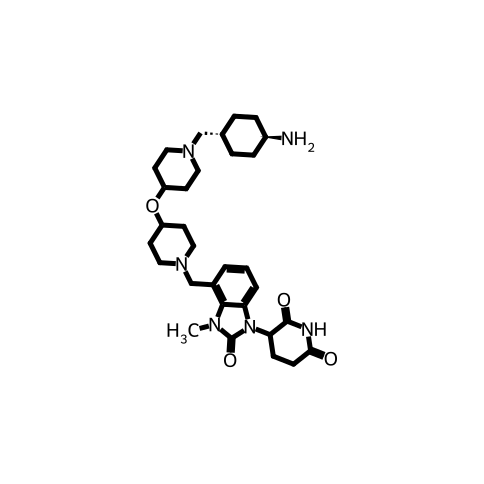 Cn1c(=O)n(C2CCC(=O)NC2=O)c2cccc(CN3CCC(OC4CCN(C[C@H]5CC[C@H](N)CC5)CC4)CC3)c21